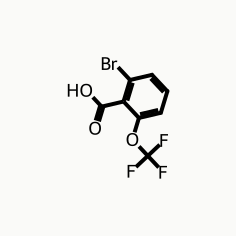 O=C(O)c1c(Br)cccc1OC(F)(F)F